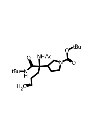 C=CCCC(NC(C)=O)(C(=O)NC(C)(C)C)C1CCN(C(=O)OC(C)(C)C)C1